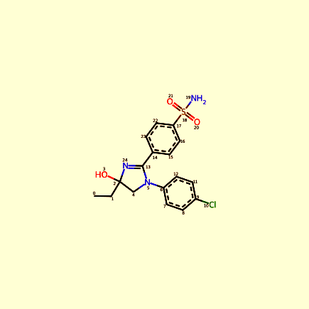 CCC1(O)CN(c2ccc(Cl)cc2)C(c2ccc(S(N)(=O)=O)cc2)=N1